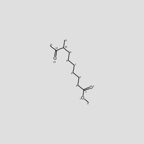 COC(=O)CCCCCCC(C)C(C)=O